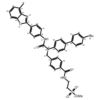 COS(=O)(=O)CCNC(=O)c1ccc(C[C@@H](C(=O)Nc2ccc(-c3nc4c(C)cccc4o3)cc2)c2ccc(-c3ccc(C(C)(C)C)cc3)cc2)cc1